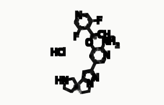 C[C@@H](Oc1cc(-c2cc3n(n2)CC[C@@]32CCNC2)cnc1N)c1c(F)cncc1F.Cl